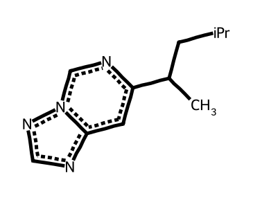 CC(C)CC(C)c1cc2ncnn2cn1